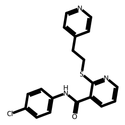 O=C(Nc1ccc(Cl)cc1)c1cccnc1SCCc1ccncc1